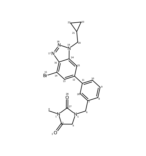 CN1C(=O)CN(Cc2cccc(-c3cc(Br)c4nnn(CC5CC5)c4c3)c2)C1=O